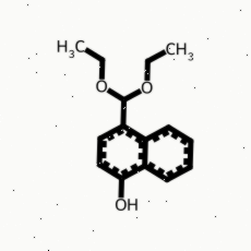 CCOC(OCC)c1ccc(O)c2ccccc12